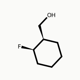 OC[C@H]1CCCC[C@H]1F